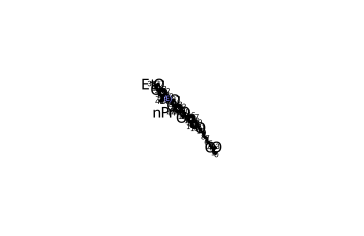 C=CC(=O)OCCCCCCOc1ccc2cc(C(=O)Oc3ccc(OC(=O)/C(C)=C/c4ccc(OC(=O)CC)cc4C=C)c(CCC)c3)ccc2c1